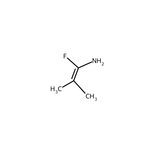 CC(C)=C(N)F